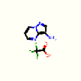 Nc1cnn2cccnc12.O=C(O)C(F)(F)F